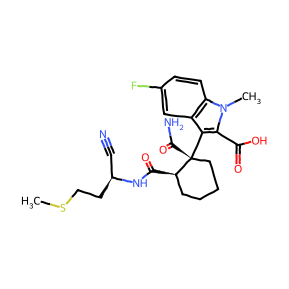 CSCC[C@@H](C#N)NC(=O)[C@@H]1CCCC[C@@]1(C(N)=O)c1c(C(=O)O)n(C)c2ccc(F)cc12